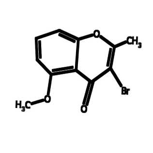 COc1cccc2oc(C)c(Br)c(=O)c12